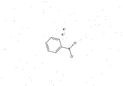 [K+].[K+].[O-]B([O-])c1ccccc1